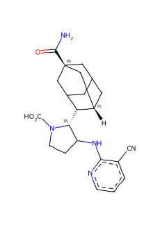 N#Cc1cccnc1NC1CCN(C(=O)O)[C@@H]1C1C2CC3C[C@H]1C[C@@](C(N)=O)(C3)C2